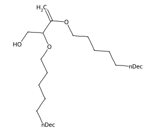 C=C(OCCCCCCCCCCCCCCC)C(CO)OCCCCCCCCCCCCCCC